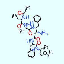 CC(C)CC(=O)N[C@@H](CC(C)C)C(=O)N[C@H](C(=O)NC(Cc1ccccc1)C(N)CC(=O)NC(Cc1ccccc1)C(=O)N[C@H](C(=O)O)C(C)C)C(C)C